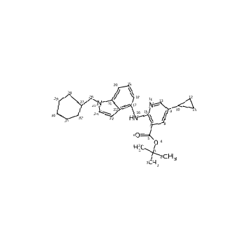 CC(C)(C)OC(=O)c1cc(C2CC2)cnc1Nc1cccc2c1ccn2CC1CCCCC1